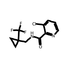 O=C(NCC1(C(F)(F)F)CC1)c1ncccc1Cl